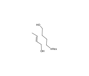 C/C=C/CO.CCCCCCCCCCO